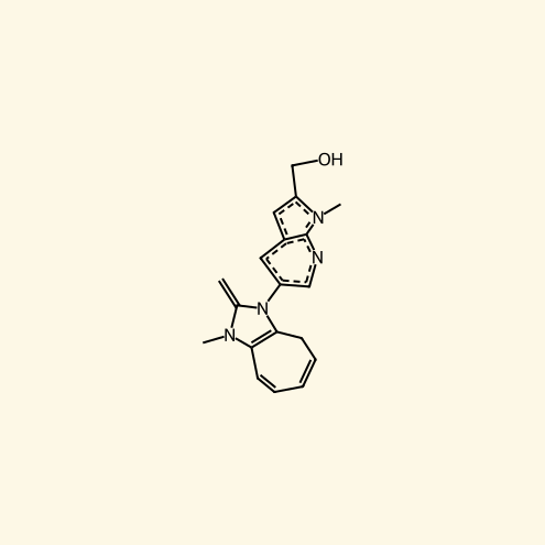 C=C1N(C)C2=C(CC=CC=C2)N1c1cnc2c(c1)cc(CO)n2C